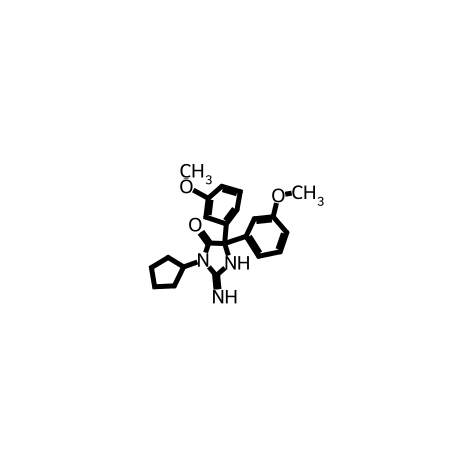 COc1cccc(C2(c3cccc(OC)c3)NC(=N)N(C3CCCC3)C2=O)c1